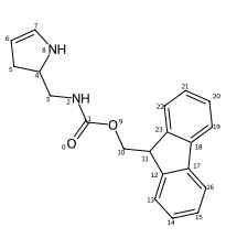 O=C(NCC1CC=CN1)OCC1c2ccccc2-c2ccccc21